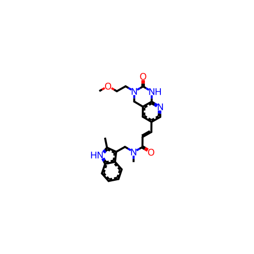 COCCN1Cc2cc(C=CC(=O)N(C)Cc3c(C)[nH]c4ccccc34)cnc2NC1=O